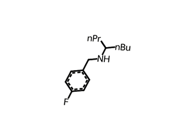 CCCCC(CCC)NCc1ccc(F)cc1